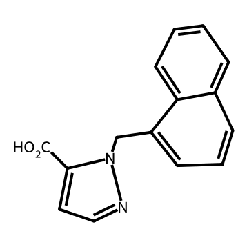 O=C(O)c1ccnn1Cc1cccc2ccccc12